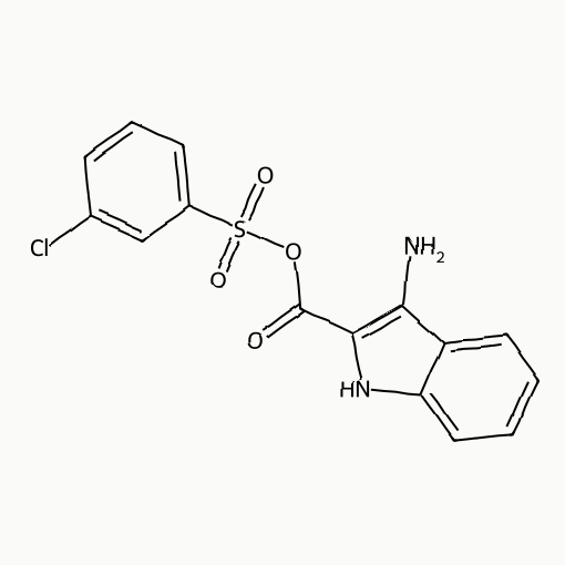 Nc1c(C(=O)OS(=O)(=O)c2cccc(Cl)c2)[nH]c2ccccc12